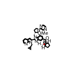 COc1cc(C(=O)N2C[C@H]3CC[C@@H]2[C@@H]3N)cc2nc(-c3cc4cccnc4n3CC3CC3)n(C[C@@H]3CCN(c4cnccn4)C3)c12